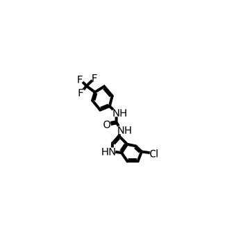 O=C(Nc1ccc(C(F)(F)F)cc1)Nc1c[nH]c2ccc(Cl)cc12